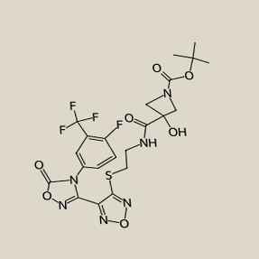 CC(C)(C)OC(=O)N1CC(O)(C(=O)NCCSc2nonc2-c2noc(=O)n2-c2ccc(F)c(C(F)(F)F)c2)C1